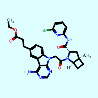 CCOC(=O)CCc1ccc2c(c1)c1c(N)ncnc1n2CC(=O)N1[C@H](C(=O)Nc2cccc(Br)n2)C[C@@]2(C)CC[C@@H]12